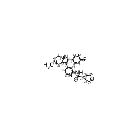 CN1CCn2nc(-c3ccc(F)cc3)c(-c3ccnc(NC(=O)C4C5COCC54)c3)c2C1